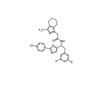 O=C(Cn1nc(C(F)(F)F)c2c1CCCC2)NC(Cc1cc(F)cc(F)c1)c1cnc(-c2ccc(Cl)cc2)o1